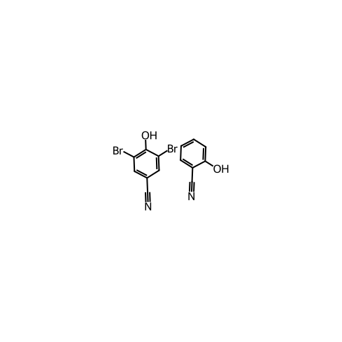 N#Cc1cc(Br)c(O)c(Br)c1.N#Cc1ccccc1O